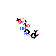 CC[C@@H](NC(=O)OC(C)(C)C)C(=O)Nc1ccc(Oc2ccc3c(c2)C(C)(C)OC3)nc1